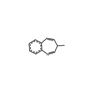 CC1C=Cc2ccccc2N=C1